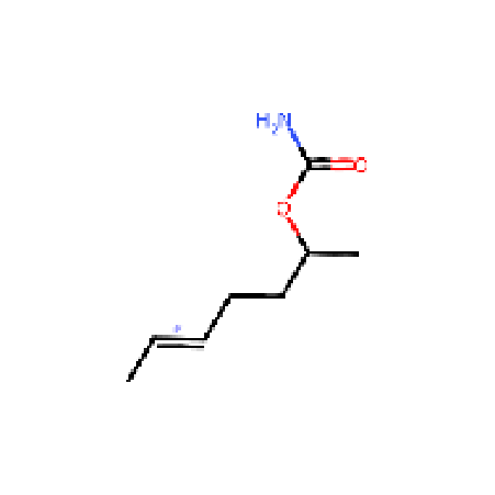 C/C=C/CCC(C)OC(N)=O